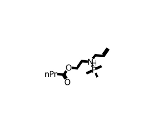 C=CCN(CCOC(=O)CCC)[PH](C)(C)C